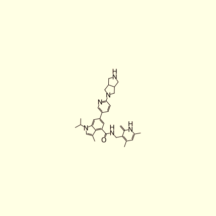 C=C1NC(C)=CC(C)=C1CNC(=O)c1cc(-c2ccc(N3CC4CNCC4C3)nc2)cc2c1c(C)cn2C(C)C